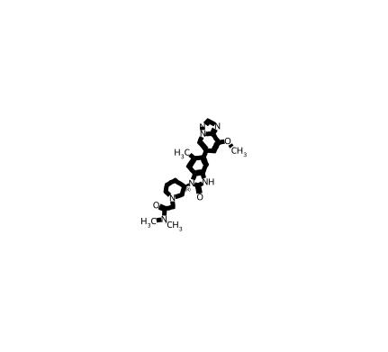 COc1cc(-c2cc3[nH]c(=O)n([C@@H]4CCCN(CC(=O)N(C)C)C4)c3cc2C)cn2ncnc12